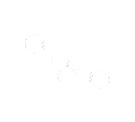 CCCCN(SOc1ccccc1)C(=O)NCc1ccccc1